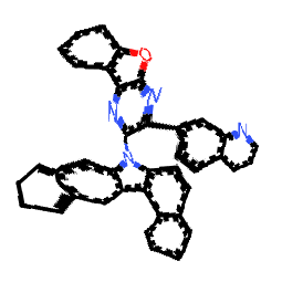 C1=c2cc3c4c5ccccc5ccc4n(-c4nc5c(nc4-c4ccc6cccnc6c4)oc4ccccc45)c3cc2=CCC1